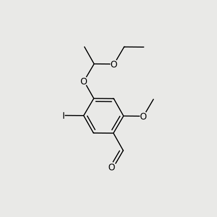 CCOC(C)Oc1cc(OC)c(C=O)cc1I